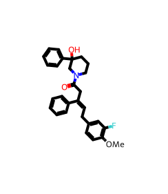 COc1ccc(C/C=C(/CC(=O)N2CCCC(O)(c3ccccc3)C2)c2ccccc2)cc1F